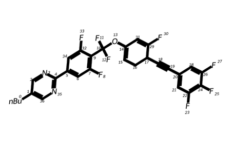 CCCCc1cnc(-c2cc(F)c(C(F)(F)OC3=CCC(C#Cc4cc(F)c(F)c(F)c4)C(F)=C3)c(F)c2)nc1